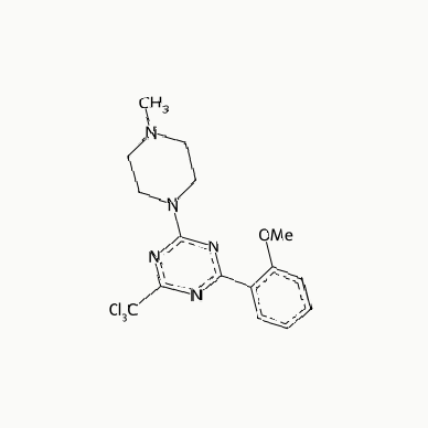 COc1ccccc1-c1nc(N2CCN(C)CC2)nc(C(Cl)(Cl)Cl)n1